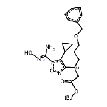 CC(C)(C)OC(=O)C[C@H](CCCOCc1ccccc1)c1noc(/C(N)=N/O)c1C1CC1